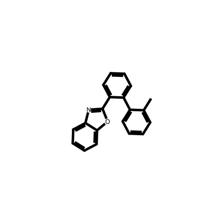 Cc1ccccc1-c1ccccc1-c1nc2ccccc2o1